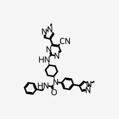 Cn1cc(-c2ccc(N(C(=O)NCc3ccccc3)[C@H]3CC[C@@H](Nc4ncc(C#N)c(-c5cnn(C)c5)n4)CC3)cc2)cn1